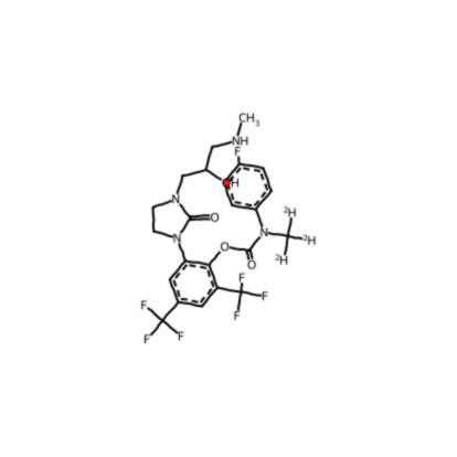 [2H]C([2H])([2H])N(C(=O)Oc1c(N2CCN(CC(O)CNC)C2=O)cc(C(F)(F)F)cc1C(F)(F)F)c1ccc(F)cc1